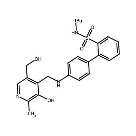 Cc1ncc(CO)c(CNc2ccc(-c3ccccc3S(=O)(=O)NC(C)(C)C)cc2)c1O